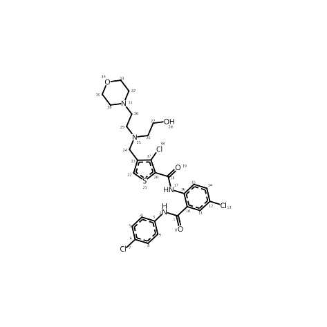 O=C(Nc1ccc(Cl)cc1)c1cc(Cl)ccc1NC(=O)c1scc(CN(CCO)CCN2CCOCC2)c1Cl